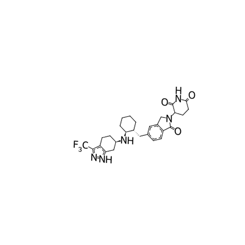 O=C1CCC(N2Cc3cc(C[C@H]4CCCC[C@@H]4N[C@@H]4CCc5c(C(F)(F)F)n[nH]c5C4)ccc3C2=O)C(=O)N1